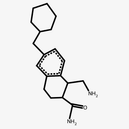 NCC1c2ccc(CC3CCCCC3)cc2CCC1C(N)=O